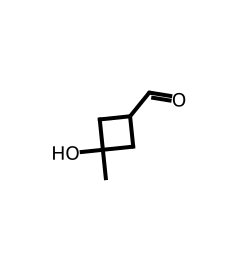 CC1(O)CC(C=O)C1